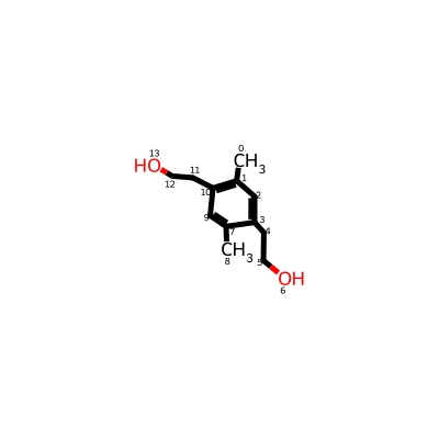 Cc1cc(CCO)c(C)cc1CCO